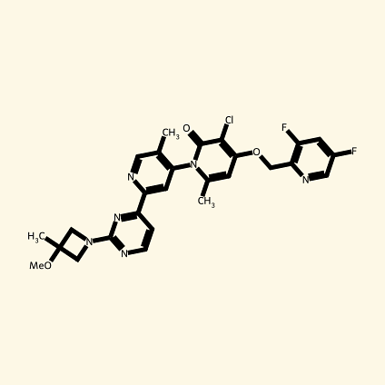 COC1(C)CN(c2nccc(-c3cc(-n4c(C)cc(OCc5ncc(F)cc5F)c(Cl)c4=O)c(C)cn3)n2)C1